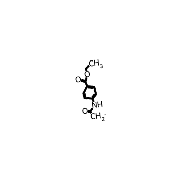 [CH2]C(=O)Nc1ccc(C(=O)OCC)cc1